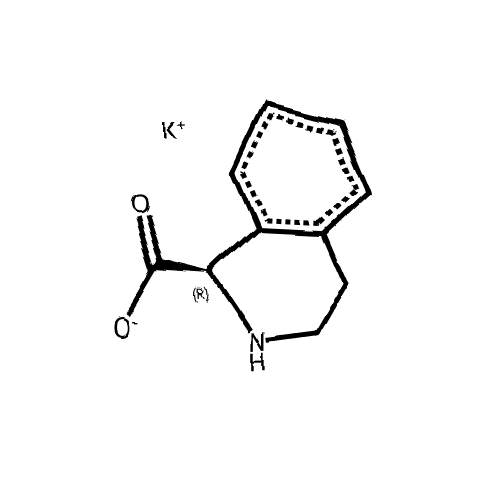 O=C([O-])[C@@H]1NCCc2ccccc21.[K+]